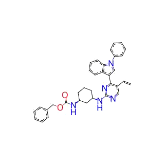 C=Cc1cnc(N[C@@H]2CCC[C@H](NC(=O)OCc3ccccc3)C2)nc1-c1cn(-c2ccccc2)c2ccccc12